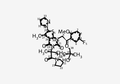 COc1ccc(F)cc1[C@H](Cn1c(=O)n(C(C)(C)C(=O)N2CCCC2)c(=O)c2c(C)c(-n3cccn3)sc21)OCC(C)(C)O